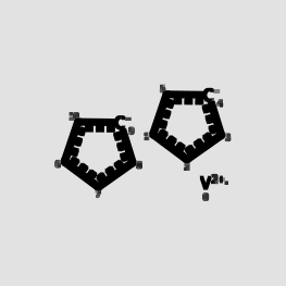 [V+2].c1cc[cH-]c1.c1cc[cH-]c1